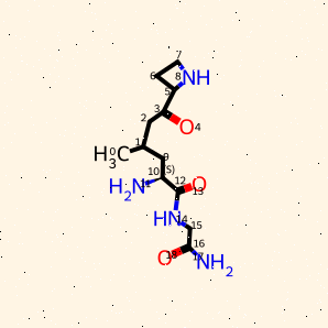 CC(CC(=O)C1CCN1)C[C@H](N)C(=O)NCC(N)=O